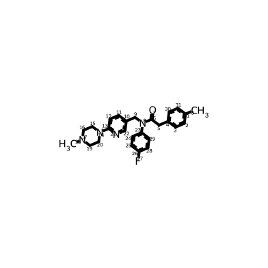 Cc1ccc(CC(=O)N(Cc2ccc(N3CCN(C)CC3)nc2)c2ccc(F)cc2)cc1